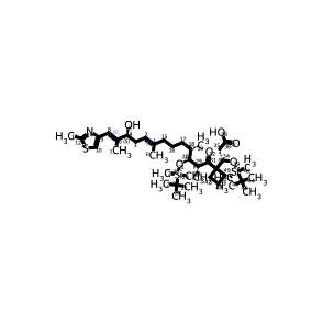 C/C(=C\C[C@H](O)/C(C)=C/c1csc(C)n1)CCC[C@H](C)[C@H](O[Si](C)(C)C(C)(C)C)[C@@H](C)C(=O)C1([C@H](CC(=O)O)O[Si](C)(C)C(C)(C)C)CCC1